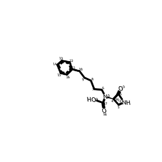 O=C1NC[C@H]1N(CCCCCc1ccccc1)C(=O)O